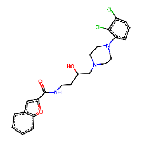 O=C(NCCC(O)CN1CCN(c2cccc(Cl)c2Cl)CC1)c1cc2ccccc2o1